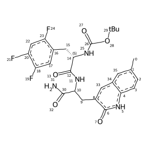 Cc1ccc2[nH]c(=O)c(CC(NC(=O)[C@H](Cc3cc(F)c(F)cc3F)NC(=O)OC(C)(C)C)C(N)=O)cc2c1